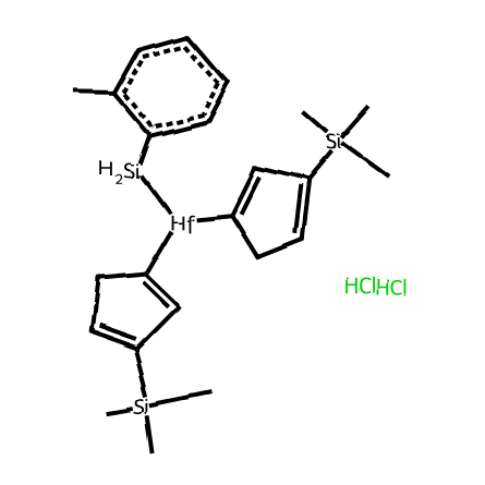 Cc1ccccc1[SiH2][Hf]([C]1=CC([Si](C)(C)C)=CC1)[C]1=CC([Si](C)(C)C)=CC1.Cl.Cl